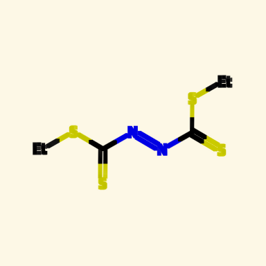 CCSC(=S)N=NC(=S)SCC